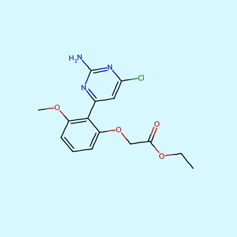 CCOC(=O)COc1cccc(OC)c1-c1cc(Cl)nc(N)n1